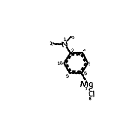 CN(C)c1cc[c]([Mg][Cl])cc1